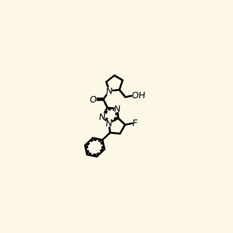 O=C(c1nc2n(n1)C(c1ccccc1)CC2F)N1CCCC1CO